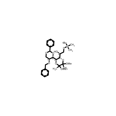 COC1(C)O[C@@H]([C@@H]2OC(c3ccccc3)OC[C@@H]2OCc2ccccc2)[C@H]([C@@H](O)CO[Si](C)(C)C(C)(C)C)OC1(C)OC